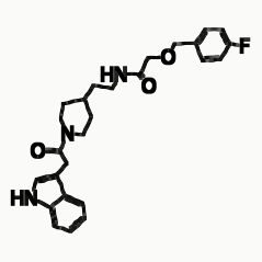 O=C(COCc1ccc(F)cc1)NCCC1CCN(C(=O)Cc2c[nH]c3ccccc23)CC1